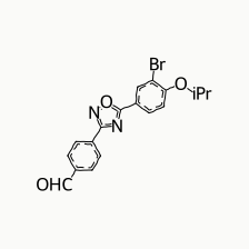 CC(C)Oc1ccc(-c2nc(-c3ccc(C=O)cc3)no2)cc1Br